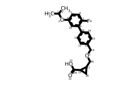 CC(C)Oc1ccc(F)c(-c2ccc(COCC3CC3C(=O)O)cc2)c1